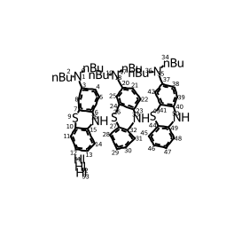 CCCCN(CCCC)c1ccc2c(c1)Sc1ccccc1N2.CCCCN(CCCC)c1ccc2c(c1)Sc1ccccc1N2.CCCCN(CCCC)c1ccc2c(c1)Sc1ccccc1N2.I.I.I